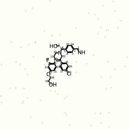 N=Cc1ccc([C@@H](CO)N2CCN(c3ccc(OCCO)cc3F)[C@H](c3ccc(Cl)cc3)C2)cc1